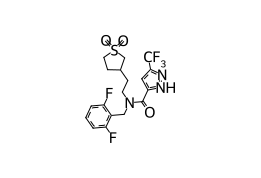 O=C(c1cc(C(F)(F)F)n[nH]1)N(CCC1CCS(=O)(=O)C1)Cc1c(F)cccc1F